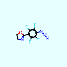 [N-]=[N+]=Nc1c(F)c(F)c(C2=NCCO2)c(F)c1F